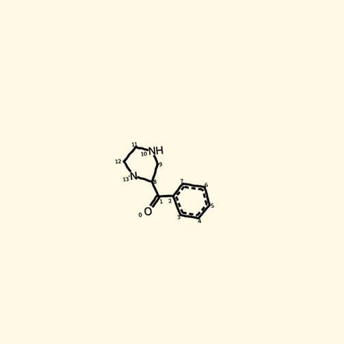 O=C(c1ccccc1)C1CNCC[N]1